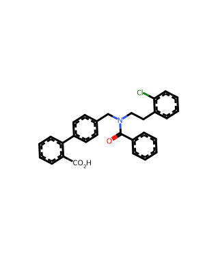 O=C(O)c1ccccc1-c1ccc(CN(CCc2ccccc2Cl)C(=O)c2ccccc2)cc1